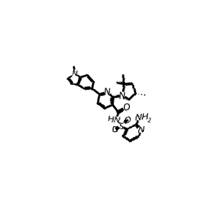 C[C@@H]1CN(c2nc(-c3ccc4c(ccn4C)c3)ccc2C(=O)NS(=O)(=O)c2cccnc2N)C(C)(C)C1